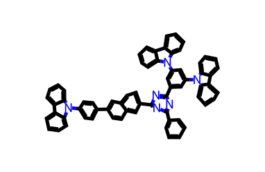 c1ccc(-c2nc(-c3cc(-n4c5ccccc5c5ccccc54)cc(-n4c5ccccc5c5ccccc54)c3)nc(-c3ccc4cc(-c5ccc(-n6c7ccccc7c7ccccc76)cc5)ccc4c3)n2)cc1